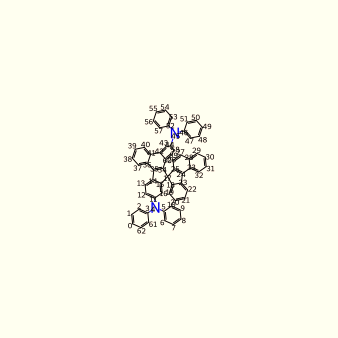 c1ccc(N(c2ccccc2)c2ccc3c(c2)C2(c4ccccc4-c4c2ccc2ccccc42)c2c-3c3ccccc3c3cc(N(c4ccccc4)c4ccccc4)ccc23)cc1